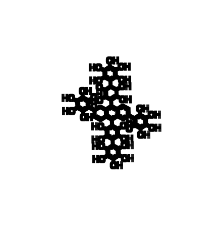 OC1=C(O)C(c2c(O)c(O)c(O)c(O)c2O)C(O)C(O)=C1c1c2c(c(-c3c(O)c(O)c(-c4c(O)c(O)c(O)c(O)c4O)c(O)c3O)c3cc(-c4c(O)c(O)c(O)c(O)c4O)ccc13)C=CC(c1c(O)c(O)c(O)c(O)c1O)C2